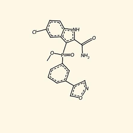 COP(=O)(c1cccc(-c2cnoc2)c1)c1c(C(N)=O)[nH]c2ccc(Cl)cc12